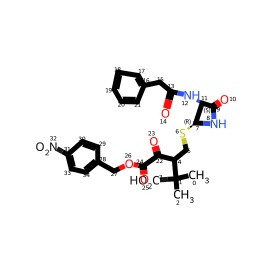 CC(C)(C(=O)O)C(CS[C@H]1NC(=O)[C@@H]1NC(=O)Cc1ccccc1)C(=O)C(=O)OCc1ccc([N+](=O)[O-])cc1